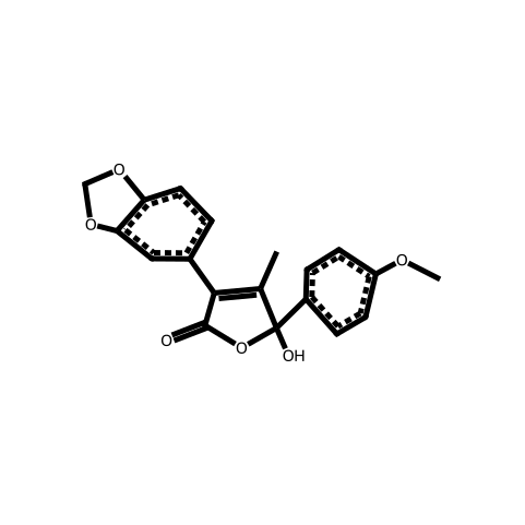 COc1ccc(C2(O)OC(=O)C(c3ccc4c(c3)OCO4)=C2C)cc1